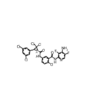 Nc1c(F)cnc(NC(=O)c2cc(NC(=O)[C@H]3C(c4cc(Cl)cc(Cl)c4)C3(Cl)Cl)ccc2Cl)c1F